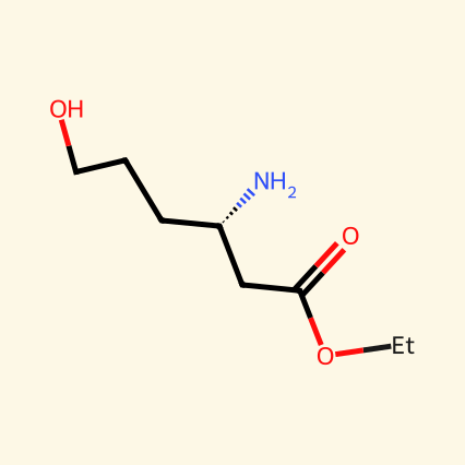 CCOC(=O)C[C@@H](N)CCCO